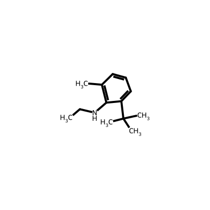 CCNc1c(C)cccc1C(C)(C)C